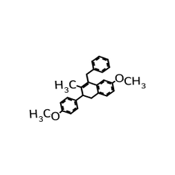 COc1ccc(C2Cc3ccc(OC)cc3C(Cc3ccccc3)=C2C)cc1